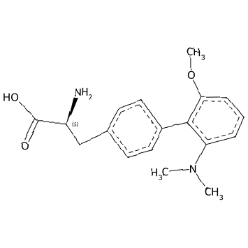 COc1cccc(N(C)C)c1-c1ccc(C[C@H](N)C(=O)O)cc1